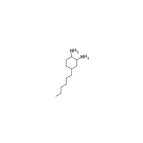 CCCCCCC1CCC(N)C(N)C1